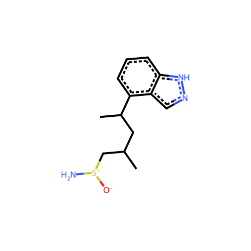 CC(CC(C)c1cccc2[nH]ncc12)C[S+](N)[O-]